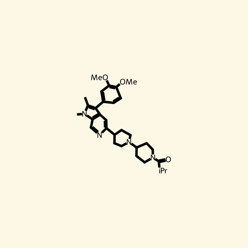 COc1ccc(-c2c(C)n(C)c3cnc(C4CCN(C5CCN(C(=O)C(C)C)CC5)CC4)cc23)cc1OC